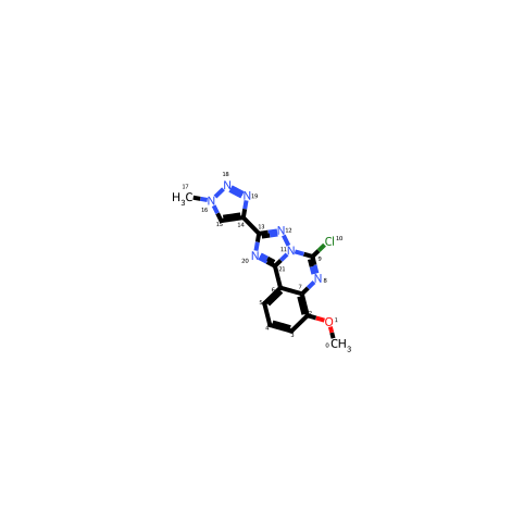 COc1cccc2c1nc(Cl)n1nc(-c3cn(C)nn3)nc21